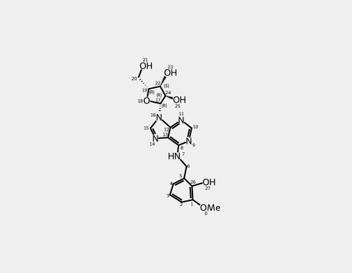 COc1cccc(CNc2ncnc3c2ncn3[C@@H]2O[C@H](CO)[C@@H](O)[C@H]2O)c1O